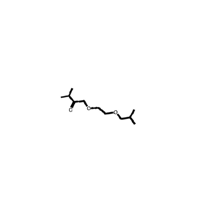 CC(C)COCCOCC(=O)C(C)C